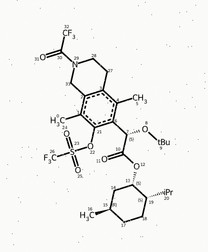 Cc1c2c(c(C)c([C@H](OC(C)(C)C)C(=O)O[C@H]3C[C@H](C)CC[C@H]3C(C)C)c1OS(=O)(=O)C(F)(F)F)CCN(C(=O)C(F)(F)F)C2